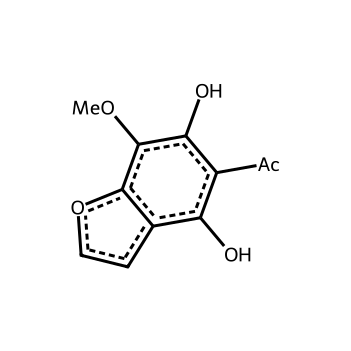 COc1c(O)c(C(C)=O)c(O)c2ccoc12